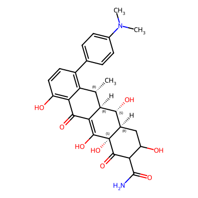 C[C@H]1c2c(-c3ccc(N(C)C)cc3)ccc(O)c2C(=O)C2=C(O)[C@]3(O)C(=O)C(C(N)=O)C(O)C[C@@H]3[C@@H](O)[C@@H]21